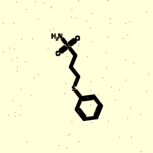 NS(=O)(=O)CCCSc1ccccc1